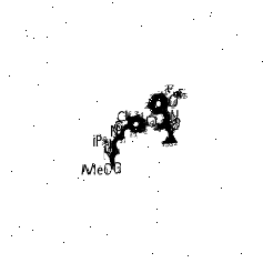 COC(=O)c1cc(C2=NOC(c3ccc(OCc4c(-c5ccccc5OC(F)F)noc4C4CC4)cc3Cl)C2)n(C(C)C)n1